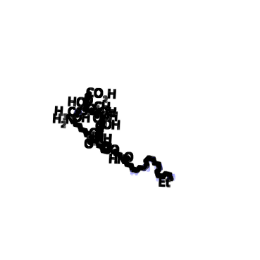 CC/C=C\C/C=C\C/C=C\C/C=C\C/C=C\C/C=C\CCC(=O)NCCOc1ccc(C[C@H](NC(=O)CO[C@H](O)C(O)OC(COC(O/C=C(/C)O)[C@@H](O)OCC(=O)O)[C@H](C)O)C(=O)NCCCCCCN)cc1